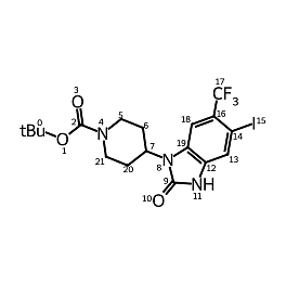 CC(C)(C)OC(=O)N1CCC(n2c(=O)[nH]c3cc(I)c(C(F)(F)F)cc32)CC1